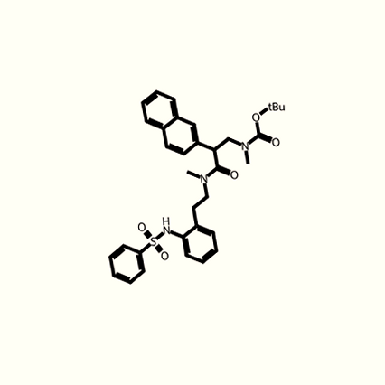 CN(CC(C(=O)N(C)CCc1ccccc1NS(=O)(=O)c1ccccc1)c1ccc2ccccc2c1)C(=O)OC(C)(C)C